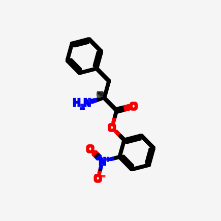 N[C@@H](Cc1ccccc1)C(=O)Oc1ccccc1[N+](=O)[O-]